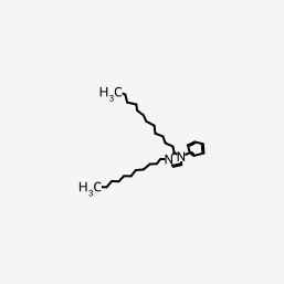 CCCCCCCCCCCCC1N(CCCCCCCCCCC)C=CN1c1ccccc1